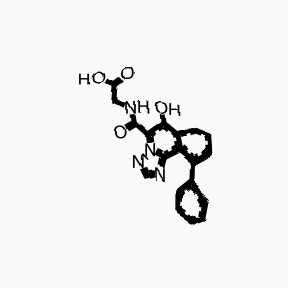 O=C(O)CNC(=O)c1c(O)c2cccc(-c3ccccc3)c2c2ncnn12